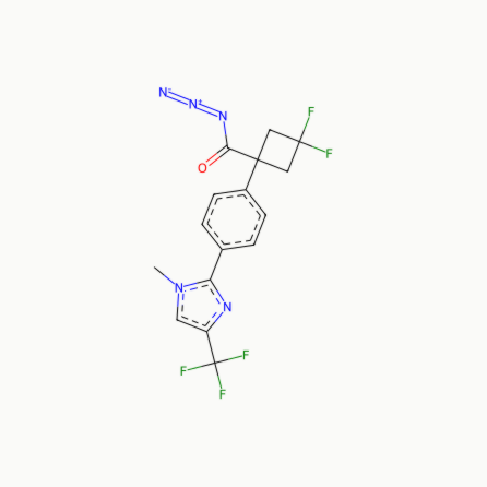 Cn1cc(C(F)(F)F)nc1-c1ccc(C2(C(=O)N=[N+]=[N-])CC(F)(F)C2)cc1